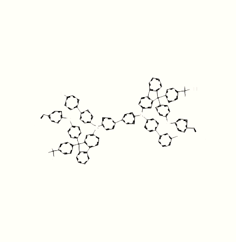 C=Cc1ccc(Oc2ccc(C3(c4ccc(C(C)(C)C)cc4)c4ccccc4-c4ccc(N(c5ccc(-c6ccc(F)cc6)cc5)c5ccc(-c6ccc(N(c7ccc(-c8cccc(F)c8)cc7)c7ccc8c(c7)C(c7ccc(Oc9ccc(C=C)cc9)cc7)(c7ccc(C(C)(C)C)cc7)c7ccccc7-8)cc6)cc5)cc43)cc2)cc1